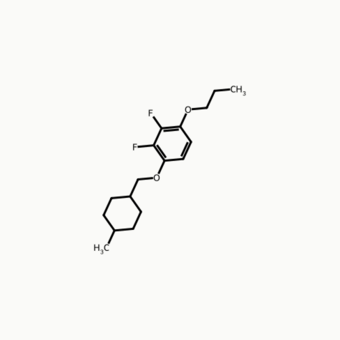 CCCOc1ccc(OCC2CCC(C)CC2)c(F)c1F